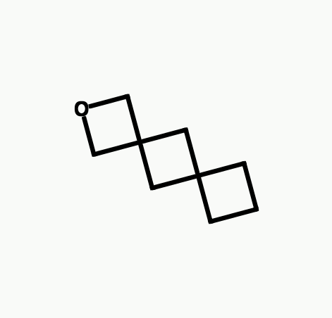 C1CC2(C1)CC1(COC1)C2